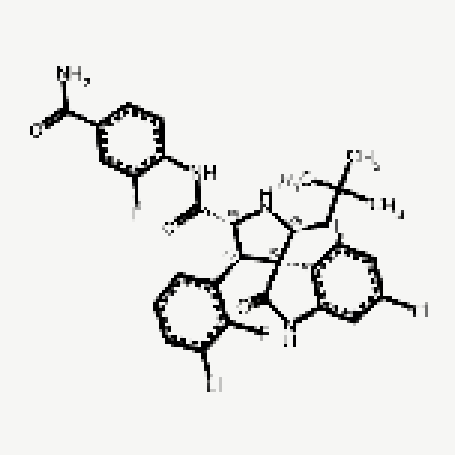 CC(C)(C)C[C@@H]1N[C@@H](C(=O)Nc2ccc(C(N)=O)cc2F)[C@H](c2cccc(Cl)c2F)[C@]12C(=O)Nc1cc(Cl)cc(F)c12